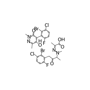 CC(=NN(C)C(C)C(=O)Cc1c(F)ccc(Cl)c1Br)C(=O)O.Cc1nn(C)c(=O)c(-c2c(F)ccc(Cl)c2Br)c1O